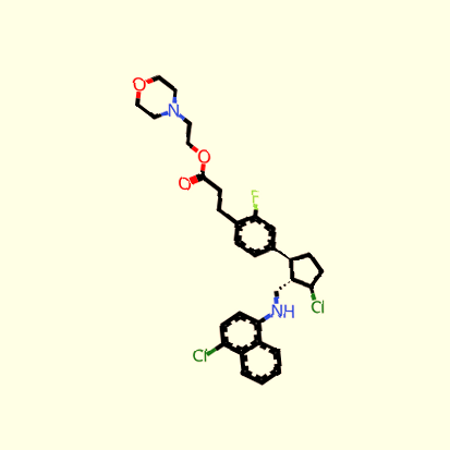 O=C(CCc1ccc([C@H]2CCC(Cl)[C@@H]2CNc2ccc(Cl)c3ccccc23)cc1F)OCCN1CCOCC1